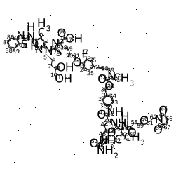 Cc1cc(N(CCCC(O)CO)c2nc(C(=O)O)c(CCCOc3ccc(C#CCN(C)C(=O)OCc4ccc(NC(=O)[C@H](CCCNC(N)=O)NC(=O)[C@@H](NC(=O)CCOCCN5C(=O)C=CC5=O)C(C)C)cc4)cc3F)s2)nnc1Nc1nc2ccccc2s1